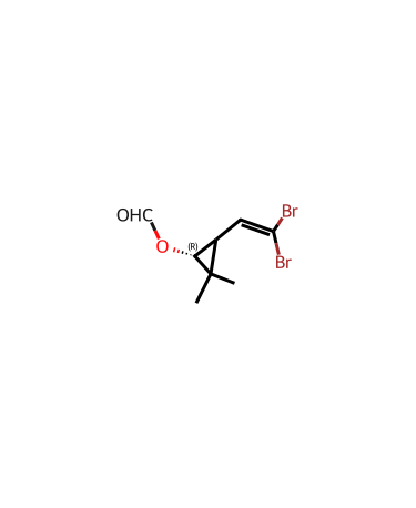 CC1(C)C(C=C(Br)Br)[C@H]1OC=O